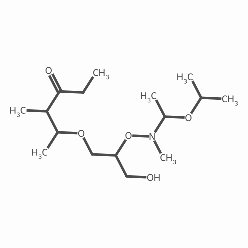 CCC(=O)C(C)C(C)OCC(CO)ON(C)C(C)OC(C)C